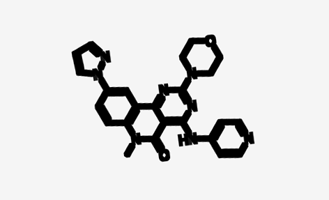 Cn1c(=O)c2c(Nc3ccncc3)nc(N3CCOCC3)nc2c2cc(-n3cccn3)ccc21